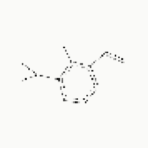 C=[C]c1cccc(C2CC2)c1C